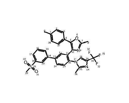 Cc1ccc(-c2oc(C)nc2-c2cc(-c3cccc(S(C)(=O)=O)c3)ccc2-n2cc(C(F)(F)F)nc2C)cc1